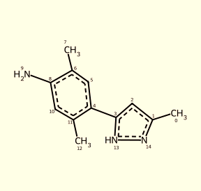 Cc1cc(-c2cc(C)c(N)cc2C)[nH]n1